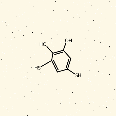 Oc1cc(S)cc(S)c1O